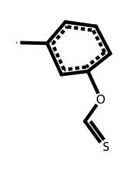 [CH2]c1cccc(OC=S)c1